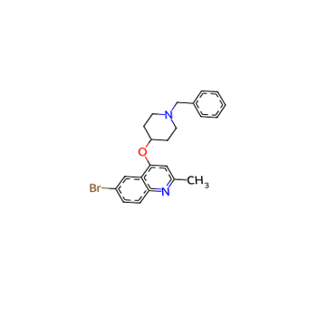 Cc1cc(OC2CCN(Cc3ccccc3)CC2)c2cc(Br)ccc2n1